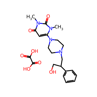 Cn1c(N2CCN(CC(CO)c3ccccc3)CC2)cc(=O)n(C)c1=O.O=C(O)C(=O)O